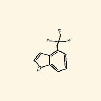 FC(F)(F)c1cccc2o[c]cc12